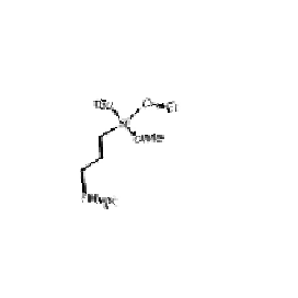 CCCCCCCCCC[Si](OC)(OCC)C(C)(C)C